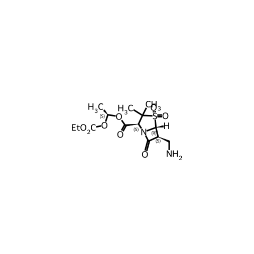 CCOC(=O)O[C@@H](C)OC(=O)[C@@H]1N2C(=O)[C@H](CN)[C@H]2S(=O)(=O)C1(C)C